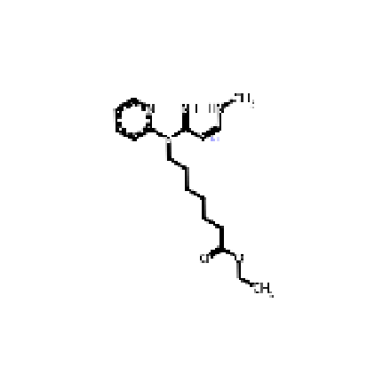 CCOC(=O)CCCCCCN(C(=N)/C=C\NC)c1ccccn1